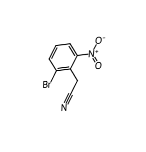 N#CCc1c(Br)cccc1[N+](=O)[O-]